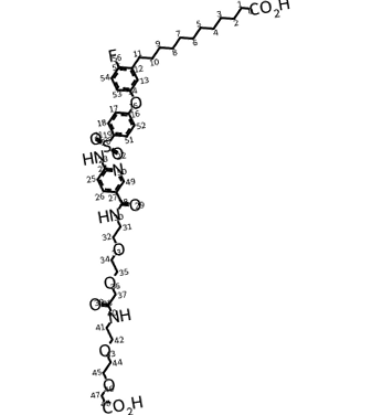 O=C(O)CCCCCCCCCCCc1cc(Oc2ccc(S(=O)(=O)Nc3ccc(C(=O)NCCOCCOCC(=O)NCCOCCOCC(=O)O)cn3)cc2)ccc1F